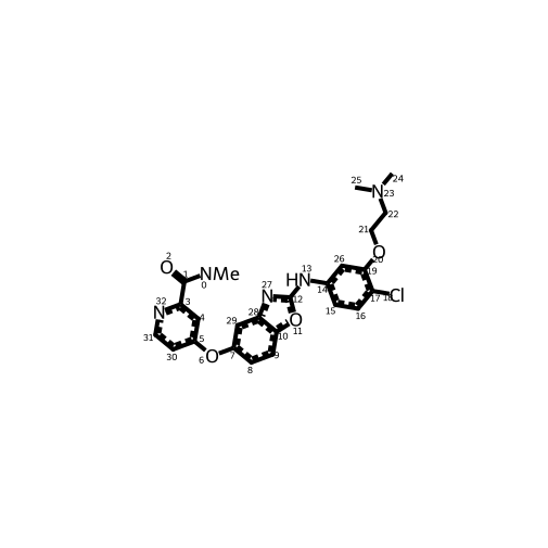 CNC(=O)c1cc(Oc2ccc3oc(Nc4ccc(Cl)c(OCCN(C)C)c4)nc3c2)ccn1